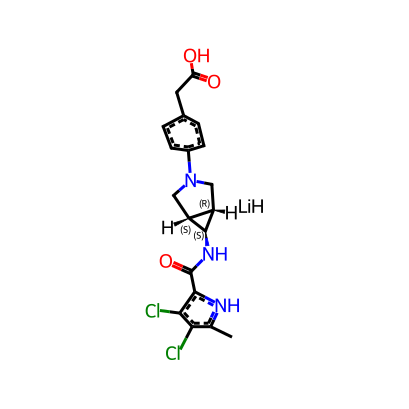 Cc1[nH]c(C(=O)N[C@H]2[C@@H]3CN(c4ccc(CC(=O)O)cc4)C[C@@H]32)c(Cl)c1Cl.[LiH]